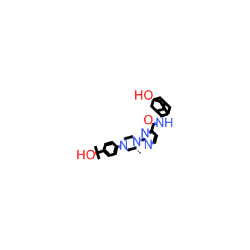 C[C@@H]1CN(c2ccc(C(C)(C)O)cc2)CCN1c1nccc(C(=O)NC2C3CC4CC2CC(O)(C4)C3)n1